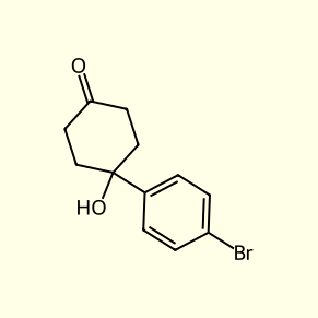 O=C1CCC(O)(c2ccc(Br)cc2)CC1